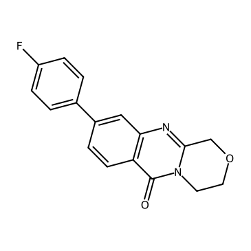 O=c1c2ccc(-c3ccc(F)cc3)cc2nc2n1CCOC2